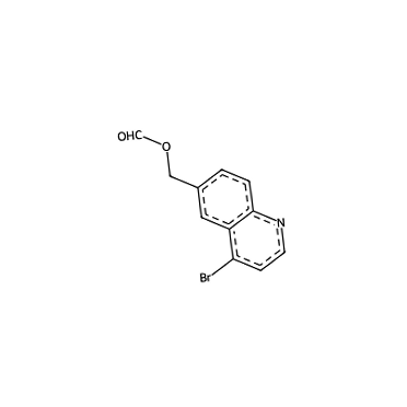 O=COCc1ccc2nccc(Br)c2c1